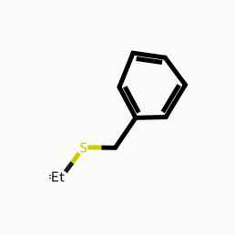 C[C]SCc1ccccc1